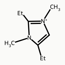 CCc1c[n+](C)c(CC)n1C